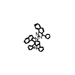 c1ccc(-c2nc(-n3c4ccc5ccccc5c4c4c5c6ccccc6n6c7ccccc7c(cc43)c56)nc3c2ccc2ccccc23)cc1